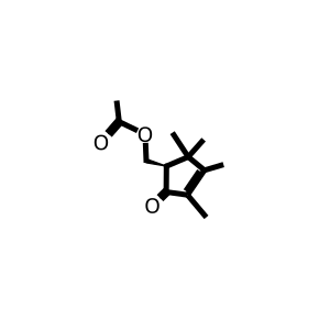 CC(=O)OC[C@@H]1C(=O)C(C)=C(C)C1(C)C